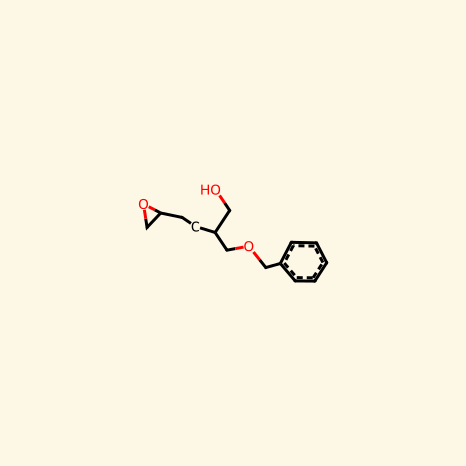 OCC(CCC1CO1)COCc1ccccc1